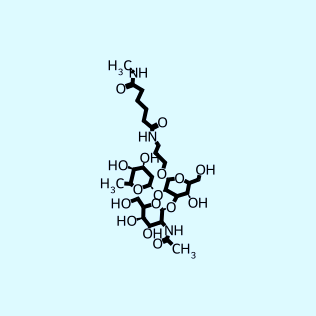 CNC(=O)CCCCC(=O)NCCCO[C@@H]1OC(CO)[C@H](O)C(O[C@H]2OC(CO)[C@H](O)[C@H](O)C2NC(C)=O)[C@@H]1O[C@H]1C[C@@H](O)[C@H](O)C(C)O1